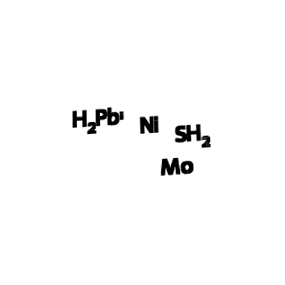 S.[Mo].[Ni].[PbH2]